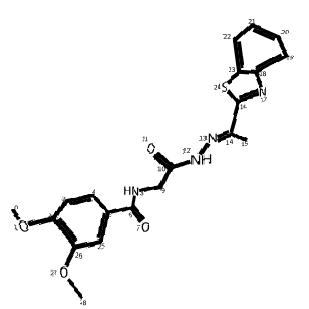 COc1ccc(C(=O)NCC(=O)N/N=C(\C)c2nc3ccccc3s2)cc1OC